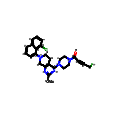 COc1nc2c(c(N3CCN(C(=O)C#CCF)CC3)n1)CCN(c1cccc3cccc(Cl)c13)C2